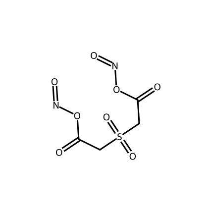 O=NOC(=O)CS(=O)(=O)CC(=O)ON=O